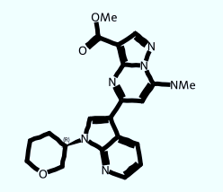 CNc1cc(-c2cn([C@@H]3CCCOC3)c3ncccc23)nc2c(C(=O)OC)cnn12